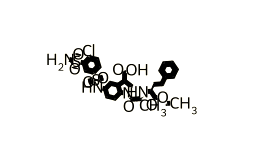 CCOC(=O)[C@H](CCc1ccccc1)N[C@@H](C)C(=O)N1CC(C(=O)O)C2CC(NS(=O)(=O)c3ccc(Cl)c(S(N)(=O)=O)c3)CCC21